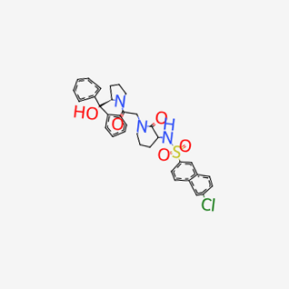 O=C1[C@@H](NS(=O)(=O)c2ccc3cc(Cl)ccc3c2)CCCN1CC(=O)N1CCC[C@@H]1C(O)(c1ccccc1)c1ccccc1